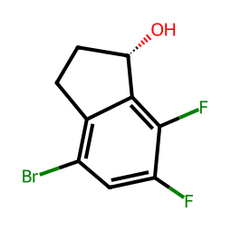 O[C@H]1CCc2c(Br)cc(F)c(F)c21